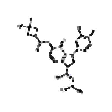 CN(N)/C=C(\N)n1cc(-c2ccc(F)c(Cl)c2)c2c(=O)n(CC(=O)N3CC(C)(F)C3)ccc21